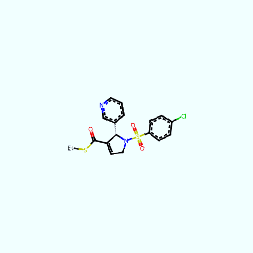 CCSC(=O)C1=CCN(S(=O)(=O)c2ccc(Cl)cc2)[C@H]1c1cccnc1